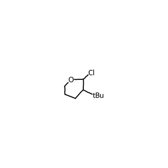 CC(C)(C)C1CCCOC1Cl